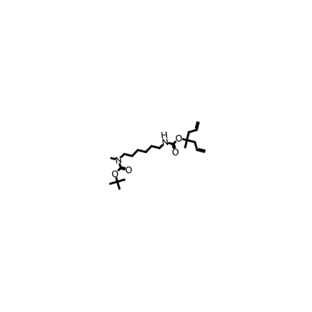 C=CCC(C)(CC=C)OC(=O)NCCCCCCN(C)C(=O)OC(C)(C)C